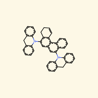 C1=Cc2c(c(N3c4ccccc4Cc4ccccc43)cc3cc(N4c5ccccc5Cc5ccccc54)c4ccccc4c23)CC1